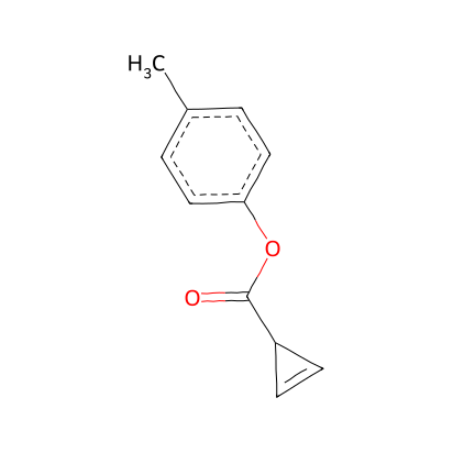 Cc1ccc(OC(=O)C2C=C2)cc1